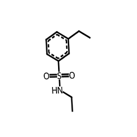 CCNS(=O)(=O)c1cccc(CC)c1